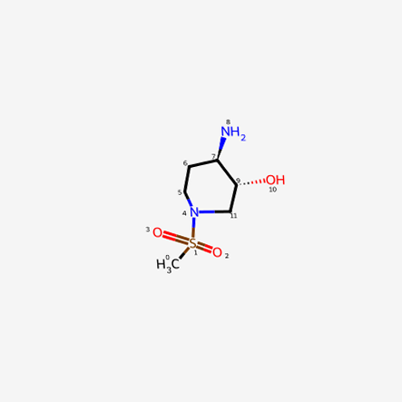 CS(=O)(=O)N1CC[C@@H](N)[C@H](O)C1